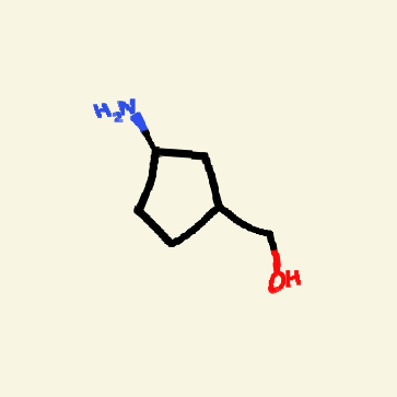 N[C@@H]1CCC(CO)C1